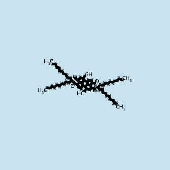 C#Cc1cc2c3c(ccc4c5c(C#C)cc6c7c(ccc(c1c34)c75)C(=O)N(C(CCCCCCCCCCC)CCCCCCCCCCC)C6=O)C(=O)N(C(CCCCCCCCCCC)CCCCCCCCCCC)C2=O